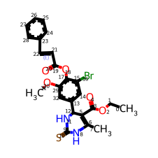 CCOC(=O)C1=C(C)NC(=S)NC1c1cc(Br)c(OC(=O)/C=C/c2ccccc2)c(OC)c1